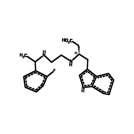 CC(NCCN[C@H](CC(=O)O)Cc1c[nH]c2ccccc12)c1ccccc1F